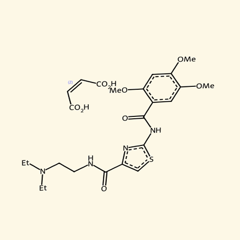 CCN(CC)CCNC(=O)c1csc(NC(=O)c2cc(OC)c(OC)cc2OC)n1.O=C(O)/C=C\C(=O)O